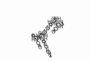 NC(=O)c1nc(-c2ccccn2)c(NC2CCC3(CC2)COC3)nc1Nc1ccc(N2CCC(N3CCN(NC(=O)c4nc(-c5ccccn5)c(NC5CCC6(CC5)COC6)nc4Nc4ccc(N5CCC(N6CCN(C7CC7)CC6)CC5)cc4)CC3)CC2)cc1